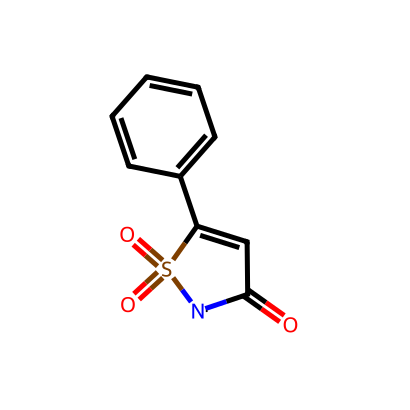 O=C1C=C(c2ccccc2)S(=O)(=O)[N]1